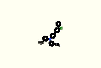 Cc1cccc(N(c2ccc(C3=CCC(Cl)(c4ccccc4)C=C3)cc2)c2cccc(C)c2)c1